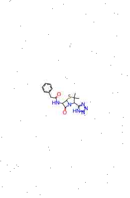 CC1(C)SC2C(NC(=O)Cc3ccccc3)C(=O)N2C1c1nnn[nH]1